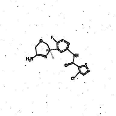 C[C@@]1(c2cc(NC(=O)c3sccc3Cl)ccc2F)COCC(N)=N1